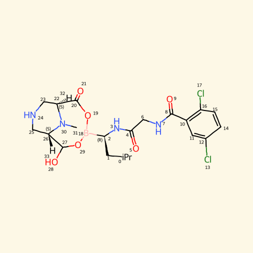 CC(C)C[C@H](NC(=O)CNC(=O)c1cc(Cl)ccc1Cl)B1OC(=O)[C@@H]2CNC[C@@H](C(O)O1)N2C